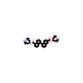 CC1(C)CC(OC(=O)c2ccc3c(-c4cccc5c(C(=O)OC6CC(C)(C)NC(C)(C)C6)cccc45)cccc3c2)CC(C)(C)N1